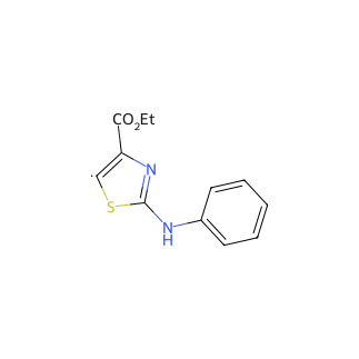 CCOC(=O)c1[c]sc(Nc2ccccc2)n1